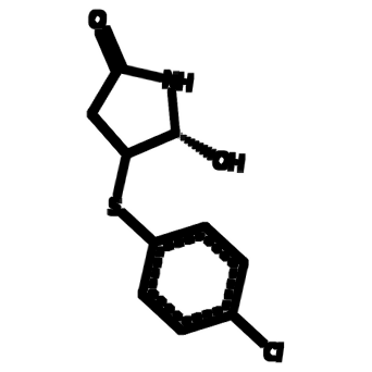 O=C1CC(Sc2ccc(Cl)cc2)[C@@H](O)N1